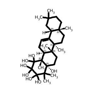 CC1(C)CC[C@]2(C)CC[C@]3(C)C(=CC[C@@H]4[C@@]5(C)C(O)(O)C(O)(O)C(O)(O)C(C)(C)[C@]5(O)CC[C@]43C)[C@@H]2C1